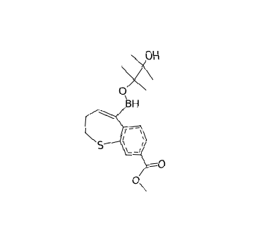 COC(=O)c1ccc2c(c1)SCCC=C2BOC(C)(C)C(C)(C)O